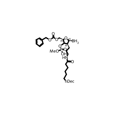 B[C@@H]1O[C@H](COC(=O)OCc2ccccc2)C(OP(=O)(O)OC)[C@@H]1CCCNC(=O)CCCCCCCCCCCCCCC